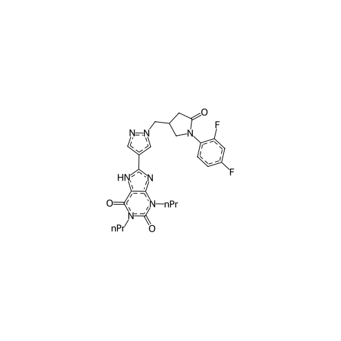 CCCn1c(=O)c2[nH]c(-c3cnn(CC4CC(=O)N(c5ccc(F)cc5F)C4)c3)nc2n(CCC)c1=O